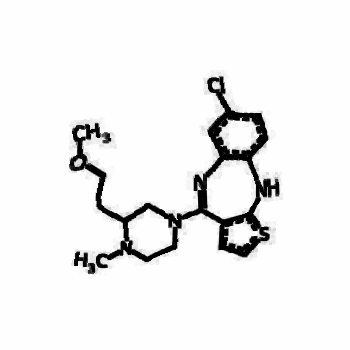 COCCC1CN(C2=Nc3cc(Cl)ccc3Nc3sccc32)CCN1C